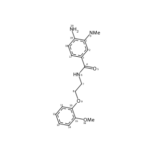 CNc1cc(C(=O)NCCOc2ccccc2OC)ccc1N